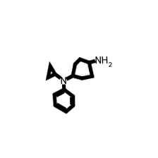 NC1CCC(N(c2ccccc2)C2CC2)CC1